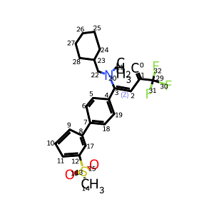 C=C(/C=C(/c1ccc(-c2cccc(S(C)(=O)=O)c2)cc1)N(C)CC1CCCCC1)C(F)(F)F